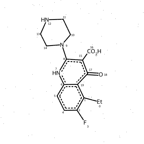 CCc1c(F)ccc2[nH]c(N3CCNCC3)c(C(=O)O)c(=O)c12